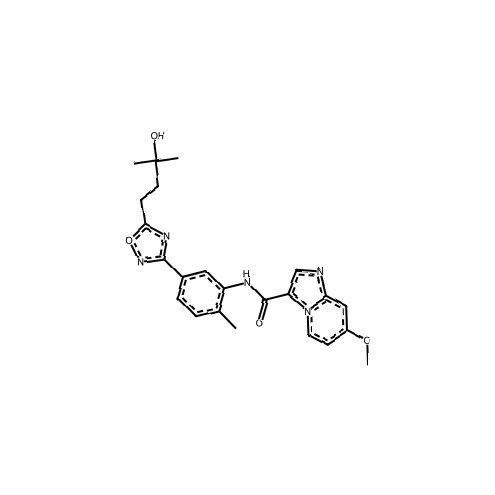 COc1ccn2c(C(=O)Nc3cc(-c4noc(CCC(C)(C)O)n4)ccc3C)cnc2c1